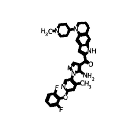 Cc1cc(Oc2c(F)cccc2F)ncc1-n1ncc(C(=O)c2cc3cc4c(cc3[nH]2)CCCN4C2CCN(C)CC2)c1N